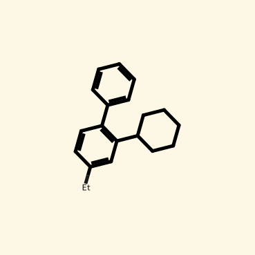 CCc1ccc(-c2ccccc2)c(C2CCCCC2)c1